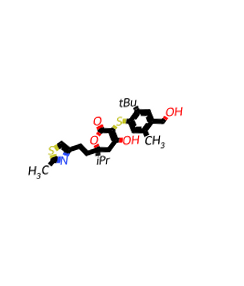 Cc1nc(CCC2(C(C)C)CC(O)=C(Sc3cc(C)c(CO)cc3C(C)(C)C)C(=O)O2)cs1